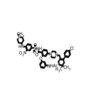 CC(=O)Nc1cccc(Oc2cc(N3CCN(CC4=C(c5ccc(Cl)cc5)CC(C)(C)CC4)CC3)ccc2C(=O)NS(=O)(=O)c2ccc(NC3CCN(C)CC3)c([N+](=O)[O-])c2)c1